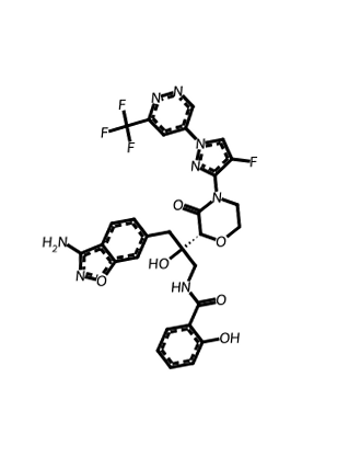 Nc1noc2cc(CC(O)(CNC(=O)c3ccccc3O)[C@H]3OCCN(c4nn(-c5cnnc(C(F)(F)F)c5)cc4F)C3=O)ccc12